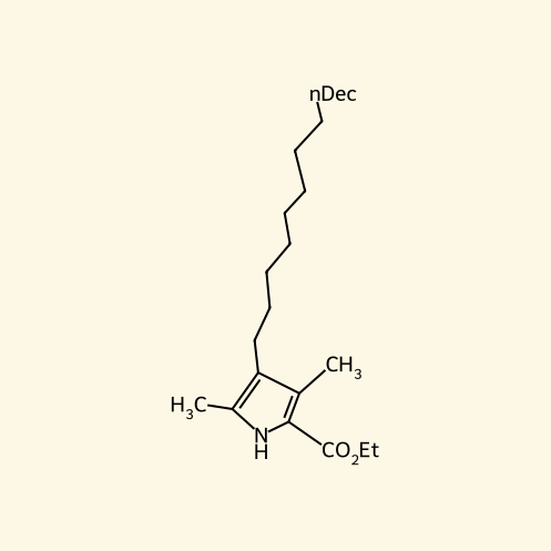 CCCCCCCCCCCCCCCCCCc1c(C)[nH]c(C(=O)OCC)c1C